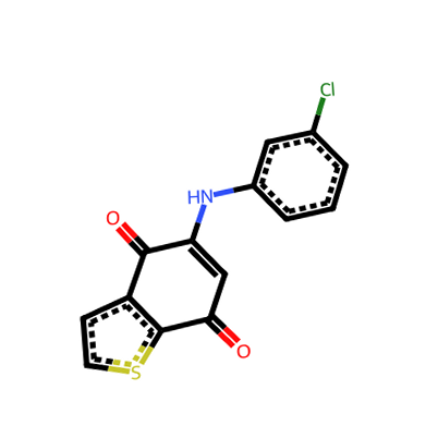 O=C1C(Nc2cccc(Cl)c2)=CC(=O)c2sccc21